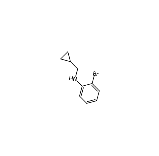 Brc1ccccc1NCC1CC1